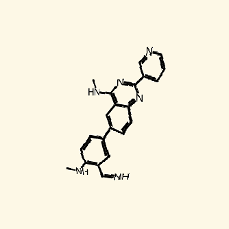 CNc1ccc(-c2ccc3nc(-c4cccnc4)nc(NC)c3c2)cc1C=N